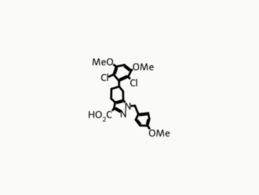 COc1ccc(Cn2nc(C(=O)O)c3c2CC(c2c(Cl)c(OC)cc(OC)c2Cl)CC3)cc1